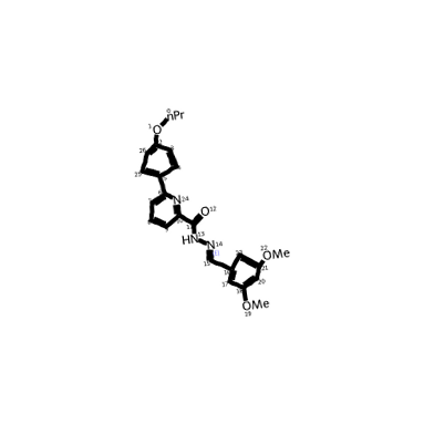 CCCOc1ccc(-c2cccc(C(=O)N/N=C/c3cc(OC)cc(OC)c3)n2)cc1